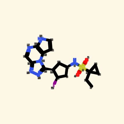 CCC1(S(=O)(=O)N[C@H]2C[C@@H](I)[C@@H](c3nnc4cnc5[nH]ccc5n34)C2)CC1